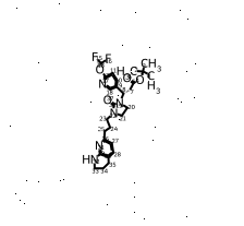 CC(C)(C)OC(=O)C[C@@H](c1ccc(OC(F)F)nc1)N1CCN(CCCc2ccc3c(n2)NCCC3)C1=O